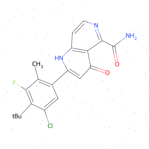 Cc1c(-c2cc(=O)c3c(C(N)=O)nccc3[nH]2)cc(Cl)c(C(C)(C)C)c1F